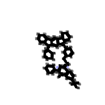 CN/C(=N\C(=N/Cc1cccc(-n2c3ccccc3c3cc4c5ccccc5n(-c5ccccc5)c4cc32)c1)c1ccc(C(C)(C)C)cc1)c1ccccc1